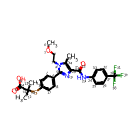 COCCn1c(-c2ccc(SC(C)(C)C(=O)O)cc2)nc(C(=O)Nc2ccc(C(F)(F)F)cc2)c1C